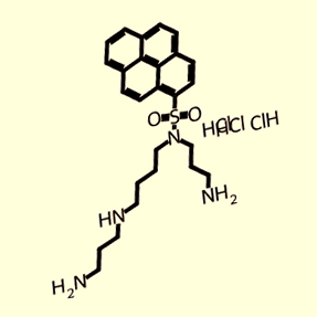 Cl.Cl.Cl.NCCCNCCCCN(CCCN)S(=O)(=O)c1ccc2ccc3cccc4ccc1c2c34